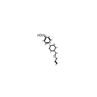 C=CCOC[C@H]1CC[C@H](c2ccc(CCCCCCCC)cc2)CC1